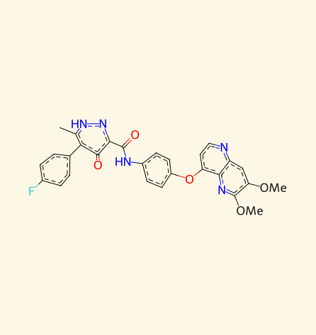 COc1cc2nccc(Oc3ccc(NC(=O)c4n[nH]c(C)c(-c5ccc(F)cc5)c4=O)cc3)c2nc1OC